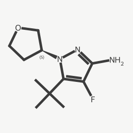 CC(C)(C)c1c(F)c(N)nn1[C@H]1CCOC1